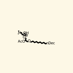 CCCCCCCCCCCCCCCCCCCOCC(COP(=O)(O)CCN(C)C)OC(C)=O